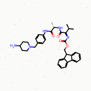 CC(C)C(=NC(=O)OCC1c2ccccc2-c2ccccc21)C(=O)N[C@@H](C)C(=O)Nc1ccc(CN2CCC(N)CC2)cc1